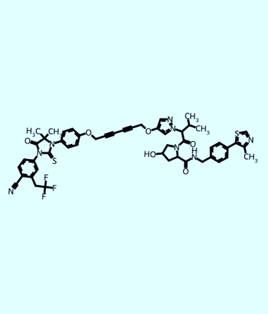 Cc1ncsc1-c1ccc(CNC(=O)C2CC(O)CN2C(=O)C(C(C)C)n2cc(OCC#CC#CCOc3ccc(N4C(=S)N(c5ccc(C#N)c(CC(F)(F)F)c5)C(=O)C4(C)C)cc3)cn2)cc1